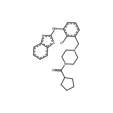 O=C(C1CCCC1)N1CCN(Cc2cccc(Nc3nc4ccccc4s3)c2Cl)CC1